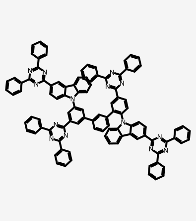 c1ccc(-c2nc(-c3ccccc3)nc(-c3cc(-c4cccc(-c5cc(-c6nc(-c7ccccc7)nc(-c7ccccc7)n6)ccc5-n5c6ccccc6c6cc(-c7nc(-c8ccccc8)nc(-c8ccccc8)n7)ccc65)c4)cc(-n4c5ccccc5c5cc(-c6nc(-c7ccccc7)nc(-c7ccccc7)n6)ccc54)c3)n2)cc1